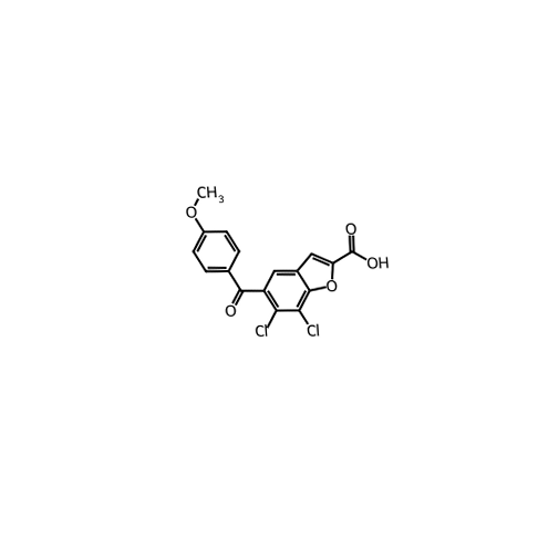 COc1ccc(C(=O)c2cc3cc(C(=O)O)oc3c(Cl)c2Cl)cc1